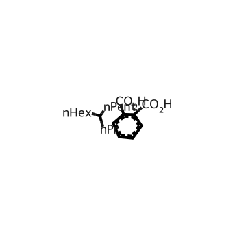 CCCCCCC(CCC)CCCCC.O=C(O)c1ccccc1C(=O)O